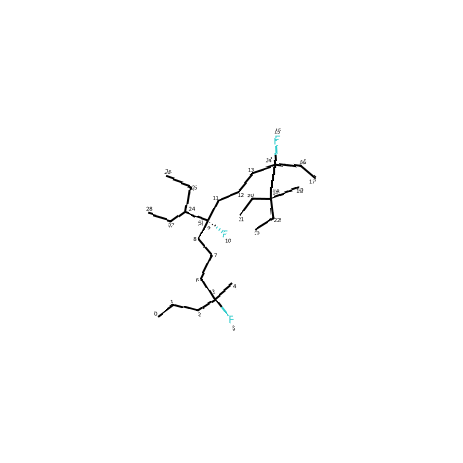 CCCC(C)(F)CCC[C@](F)(CCCC(F)(CC)C(C)(CC)CC)C(CC)CC